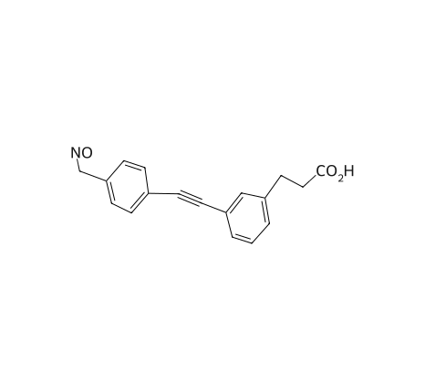 O=NCc1ccc(C#Cc2cccc(CCC(=O)O)c2)cc1